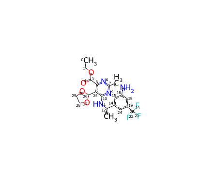 CCOC(=O)c1nc(C)nc(N[C@H](C)c2cc(N)cc(C(F)(F)F)c2)c1C1OCCO1